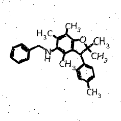 Cc1ccc(C2c3c(C)c(NCc4ccccc4)c(C)c(C)c3OC2(C)C)cc1